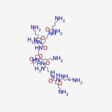 CC(C)(C)C(=O)C(CCCCNC(=O)C(CCCCNC(=O)C(N)CCCCN)NC(=O)C(N)CCCCN)NC(=O)C(CCCCN)NC(=O)C(N)CCCCNC(=O)C(CCCCN)NC(=O)C(N)CCCCN